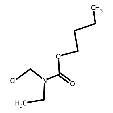 CCCCOC(=O)N(CC)CCl